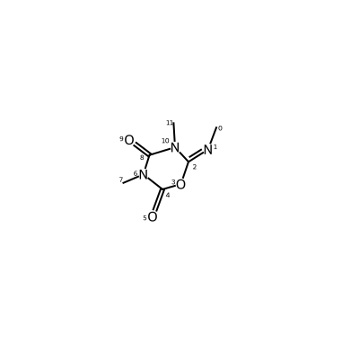 C/N=c1/oc(=O)n(C)c(=O)n1C